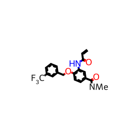 C=CC(=O)Nc1cc(C(=O)NC)ccc1OCc1cccc(C(F)(F)F)c1